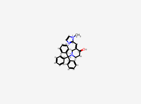 Cn1ccnc1/C=C1\CN(C(c2ccccc2)(c2ccccc2)c2ccccc2)CCC1=O